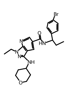 CCC(NC(=O)c1cnc2c(c1)c(NC1CCOCC1)nn2CC)c1ccc(Br)cc1